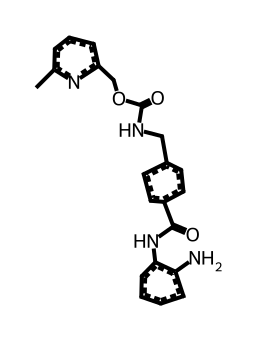 Cc1cccc(COC(=O)NCc2ccc(C(=O)Nc3ccccc3N)cc2)n1